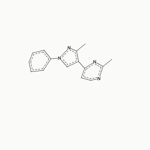 Cc1nccc(-c2cn(-c3ccccc3)nc2C)n1